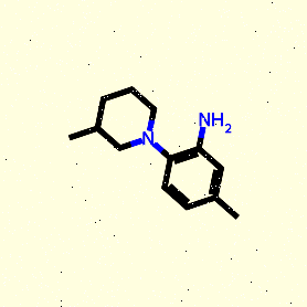 Cc1ccc(N2CCCC(C)C2)c(N)c1